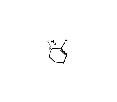 CCC1=CCCCN1C